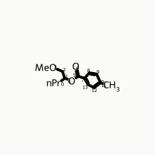 CCCC(COC)OC(=O)c1ccc(C)cc1